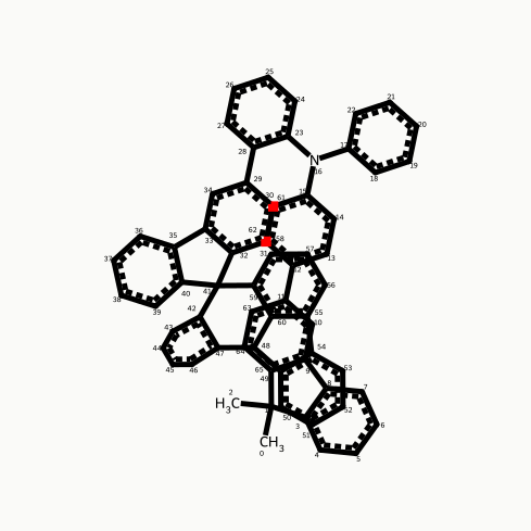 CC1(C)c2ccccc2-c2cc(-c3ccc(N(c4ccccc4)c4ccccc4-c4ccc5c(c4)-c4ccccc4C54c5ccccc5C5c6ccccc6-c6cccc4c65)cc3)ccc21